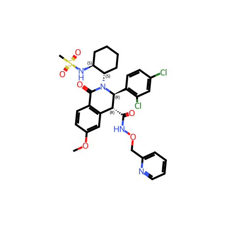 COc1ccc2c(c1)[C@@H](C(=O)NOCc1ccccn1)[C@H](c1ccc(Cl)cc1Cl)N([C@H]1CCCC[C@@H]1NS(C)(=O)=O)C2=O